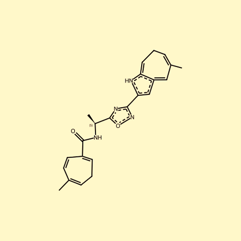 CC1=CCC=C(C(=O)N[C@@H](C)c2nc(-c3cc4c([nH]3)=CCC=C(C)C=4)no2)C=C1